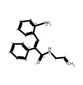 C=CCNC(=O)/C(=C/c1ccccc1N)c1ccccc1